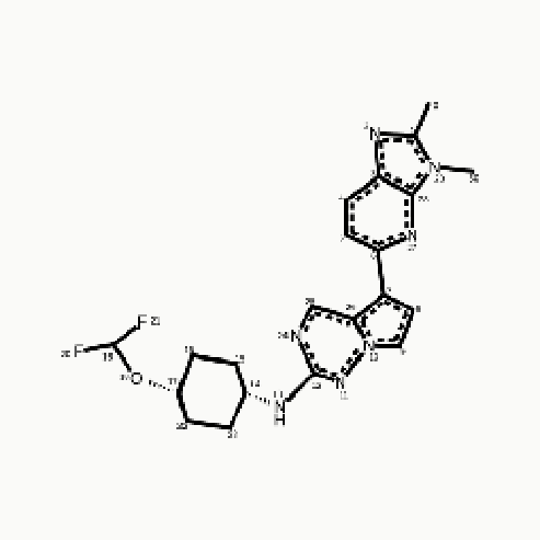 Cc1nc2ccc(-c3ccn4nc(N[C@H]5CC[C@@H](OC(F)F)CC5)ncc34)nc2n1C